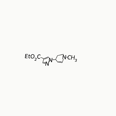 CCOC(=O)c1cnn(C2C=CN(C)CC2)c1